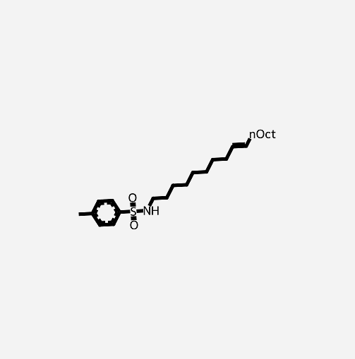 CCCCCCCCC=CCCCCCCCCNS(=O)(=O)c1ccc(C)cc1